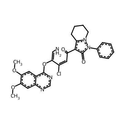 COc1cc2ncnc(OC(=C/N)/C(Cl)=C\C(=O)c3c4n(n(-c5ccccc5)c3=O)CCCC4)c2cc1OC